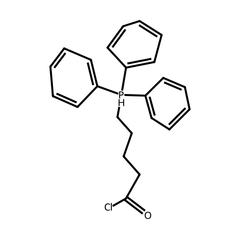 O=C(Cl)CCCC[PH](c1ccccc1)(c1ccccc1)c1ccccc1